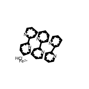 Cl.[Fe+2].c1ccc(-c2ccccn2)nc1.c1ccc(-c2ccccn2)nc1.c1ccc(-c2ccccn2)nc1